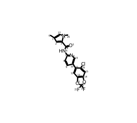 Cc1cc(C(=O)Nc2ccc(-c3cc4c(cc3Cl)OC(F)(F)O4)cn2)n(C)c1